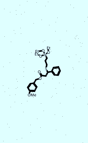 CCO[Si](CCCSC(CC(=O)OCc1ccc(OC)cc1)c1ccccc1)(OCC)OCC